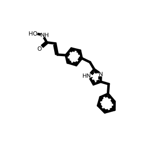 O=C(/C=C/c1ccc(Cc2nc(Cc3ccccc3)c[nH]2)cc1)NO